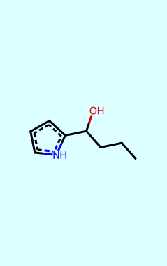 CCCC(O)c1ccc[nH]1